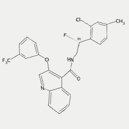 Cc1ccc([C@@H](F)CNC(=O)c2c(Oc3cccc(C(F)(F)F)c3)cnc3ccccc23)c(Cl)c1